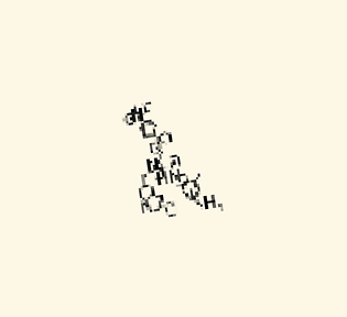 Cc1cc(N)nc(C)c1CNC(=O)c1oc(Cc2ccc3ncc(Cl)cc3c2)nc1COC(=O)c1ccc([N+](=O)[O-])cc1